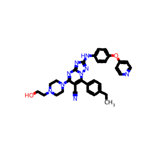 CCc1ccc(-c2c(C#N)c(N3CCN(CCO)CC3)nc3nc(Nc4ccc(Oc5ccncc5)cc4)nn23)cc1